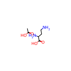 CC(=O)O.NCCC(N)C(=O)O